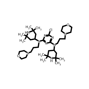 CC1(C)CC(N(CCCN2CCOCC2)c2nc(Cl)nc(N(CCCN3CCOCC3)C3CC(C)(C)NC(C)(C)C3)n2)CC(C)(C)N1